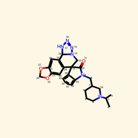 CC(C)N1CCCC(CN2C(=O)C3(CN4N=NNC4c4cc5c(cc43)OCO5)c3ccccc32)C1